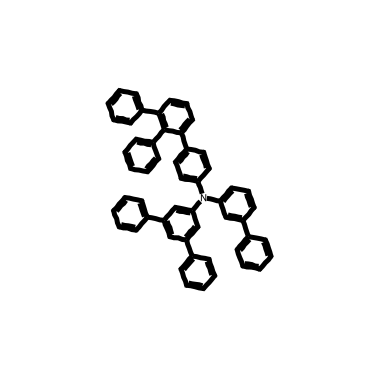 c1ccc(-c2cccc(N(c3ccc(-c4cccc(-c5ccccc5)c4-c4ccccc4)cc3)c3cc(-c4ccccc4)cc(-c4ccccc4)c3)c2)cc1